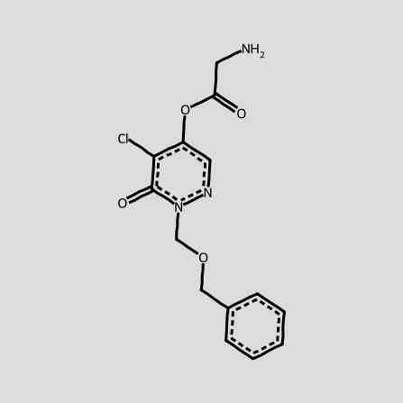 NCC(=O)Oc1cnn(COCc2ccccc2)c(=O)c1Cl